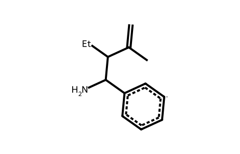 C=C(C)C(CC)C(N)c1c[c]ccc1